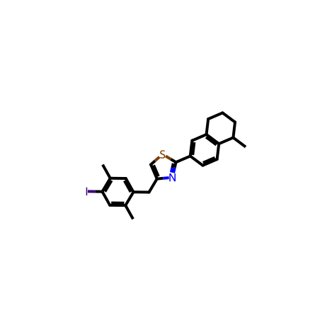 Cc1cc(Cc2csc(-c3ccc4c(c3)CCCC4C)n2)c(C)cc1I